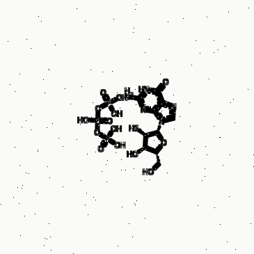 Nc1nc2c(ncn2[C@@H]2O[C@H](CO)[C@@H](O)[C@H]2S)c(=O)[nH]1.O=P(O)(O)OP(=O)(O)OP(=O)(O)O